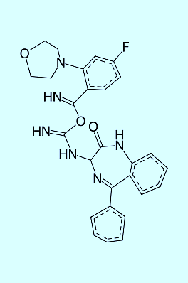 N=C(NC1N=C(c2ccccc2)c2ccccc2NC1=O)OC(=N)c1ccc(F)cc1N1CCOCC1